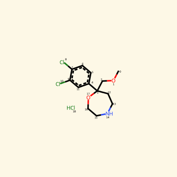 COCC1(c2ccc(Cl)c(Cl)c2)CCNCCO1.Cl